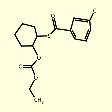 CCOC(=O)OC1CCCCC1SC(=O)c1cccc(Cl)c1